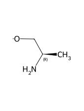 C[C@@H](N)C[O]